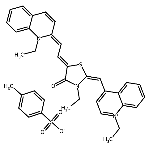 CCN1C(=CC=c2sc(=Cc3cc[n+](CC)c4ccccc34)n(CC)c2=O)C=Cc2ccccc21.Cc1ccc(S(=O)(=O)[O-])cc1